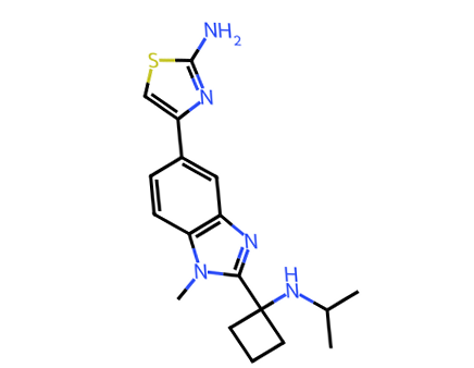 CC(C)NC1(c2nc3cc(-c4csc(N)n4)ccc3n2C)CCC1